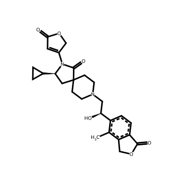 Cc1c([C@@H](O)CN2CCC3(CC2)C[C@@H](C2CC2)N(C2=CC(=O)OC2)C3=O)ccc2c1COC2=O